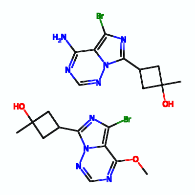 CC1(O)CC(c2nc(Br)c3c(N)ncnn23)C1.COc1ncnn2c(C3CC(C)(O)C3)nc(Br)c12